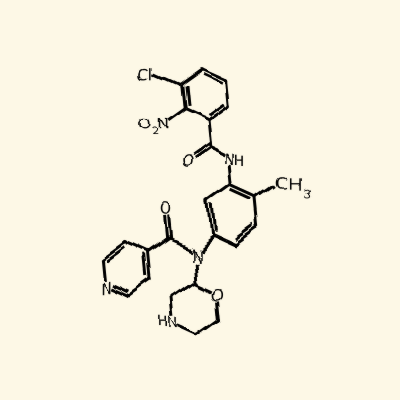 Cc1ccc(N(C(=O)c2ccncc2)C2CNCCO2)cc1NC(=O)c1cccc(Cl)c1[N+](=O)[O-]